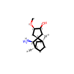 CO[C@@H]1C[C@@]2(CC1O)[C@H]1CC[C@H](C1)[C@H]2N